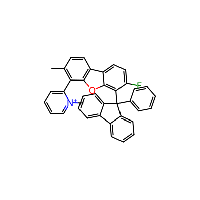 Cc1ccc2c(oc3c(C4(c5ccccc5)c5ccccc5-c5ccccc54)c(F)ccc32)c1-c1cccc[n+]1C